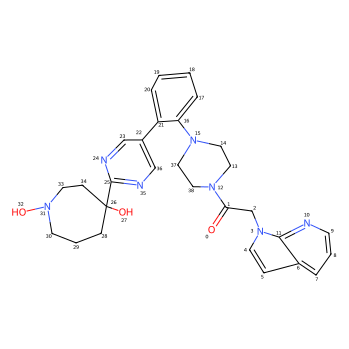 O=C(Cn1ccc2cccnc21)N1CCN(c2ccccc2-c2cnc(C3(O)CCCN(O)CC3)nc2)CC1